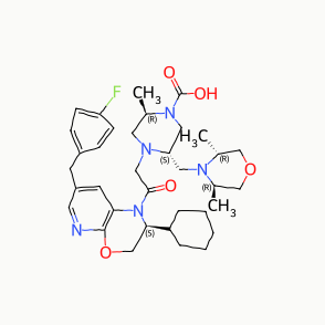 C[C@@H]1CN(CC(=O)N2c3cc(Cc4ccc(F)cc4)cnc3OC[C@@H]2C2CCCCC2)[C@@H](CN2[C@H](C)COC[C@H]2C)CN1C(=O)O